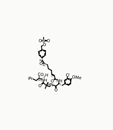 COc1ccc(C[C@@H](NC(=O)/C=C/CCC[C@H]2O[C@@H]2c2ccc(COS(C)(=O)=O)cc2)C(=O)NCC(C)(C)C(=O)N[C@@H](CC(C)C)C(=O)O)cc1Cl